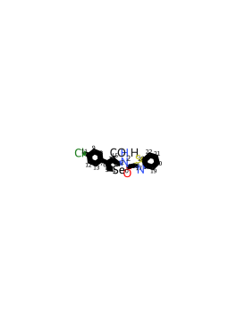 O=C(Nc1[se]cc(-c2ccc(Cl)cc2)c1C(=O)O)c1nc2ccccc2s1